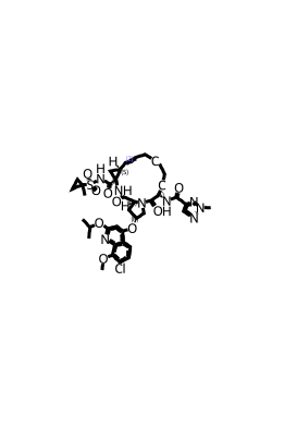 COc1c(Cl)ccc2c(O[C@@H]3C[C@H]4C(=O)N[C@]5(C(=O)NS(=O)(=O)C6(C)CC6)C[C@H]5/C=C\CCCCC[C@H](NC(=O)c5cnn(C)n5)C(=O)N4C3)cc(OC(C)C)nc12